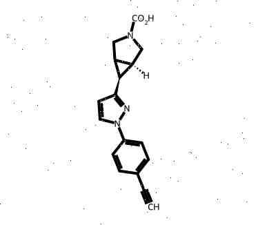 C#Cc1ccc(-n2ccc([C@H]3C4CN(C(=O)O)C[C@H]43)n2)cc1